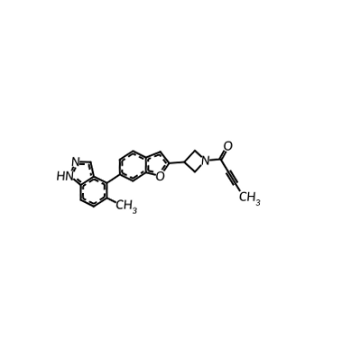 CC#CC(=O)N1CC(c2cc3ccc(-c4c(C)ccc5[nH]ncc45)cc3o2)C1